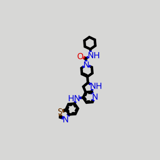 O=C(NC1CCCCC1)N1CC=C(C2Cc3c(Nc4ccc5ncsc5c4)ccnc3N2)CC1